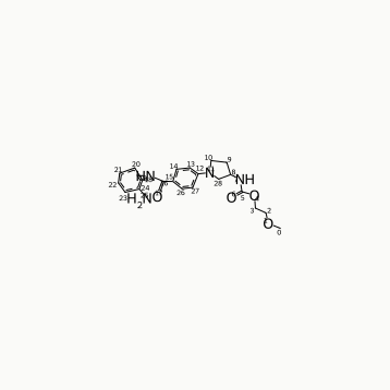 COCCOC(=O)NC1CCN(c2ccc(C(=O)Nc3ccccc3N)cc2)C1